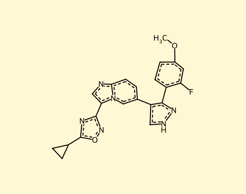 COc1ccc(-c2n[nH]cc2-c2ccc3ncc(-c4noc(C5CC5)n4)n3c2)c(F)c1